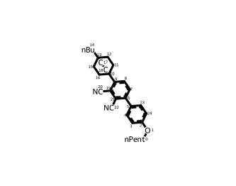 CCCCCOc1ccc(-c2ccc(C34CCC(CCCC)(CC3)CC4)c(C#N)c2C#N)cc1